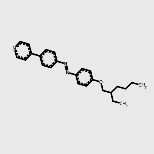 CCCCC(CC)COc1ccc(N=Nc2ccc(-c3ccncc3)cc2)cc1